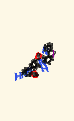 O=C(Nc1ccc(I)c(-c2ccccn2)c1)c1ccc(N2CCNCC2=O)cc1